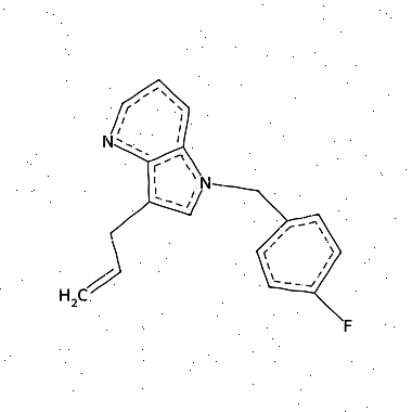 C=CCc1cn(Cc2ccc(F)cc2)c2cccnc12